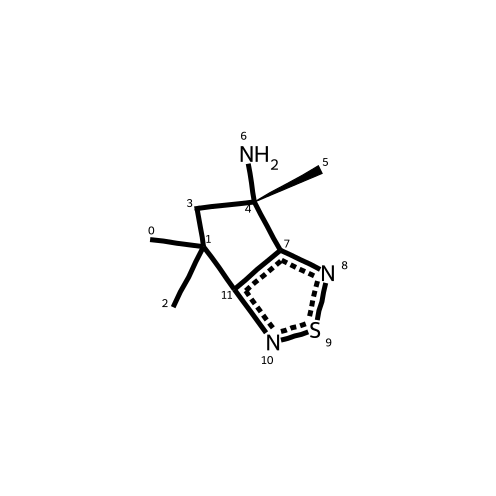 CC1(C)C[C@](C)(N)c2nsnc21